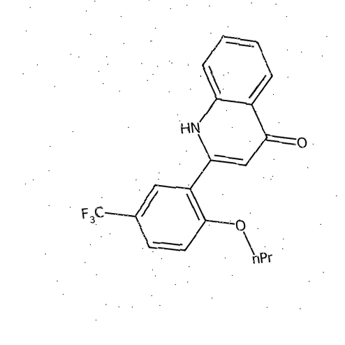 CCCOc1ccc(C(F)(F)F)cc1-c1cc(=O)c2ccccc2[nH]1